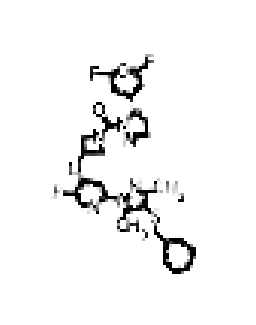 Cc1nn(-c2cc(OC3CN(C(=O)N4N=CC[C@H]4c4cc(F)cc(F)c4)C3)c(F)cn2)c(C)c1SCc1ccccc1